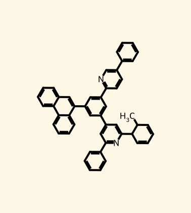 CC1C=CC=CC1c1cc(-c2cc(-c3ccc(-c4ccccc4)cn3)cc(-c3cc4ccccc4c4ccccc34)c2)cc(-c2ccccc2)n1